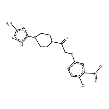 Nc1n[nH]c(N2CCN(C(=O)COc3ccc(Cl)c([N+](=O)[O-])c3)CC2)n1